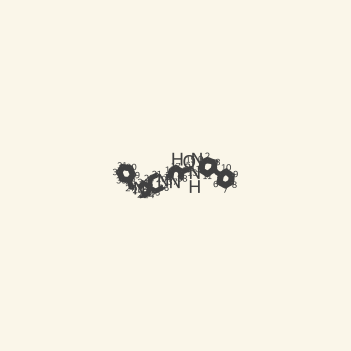 Nc1ccc(-c2ccccc2)cc1NC(=O)c1ccc(N2CCC3(CCN(Cc4ccccc4)C3)CC2)nc1